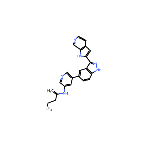 C=C(CCC)Nc1cncc(-c2ccc3[nH]nc(-c4cc5ccncc5[nH]4)c3c2)c1